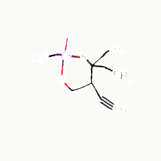 C#CC1CO[PH](C)(O)SC1(C)C